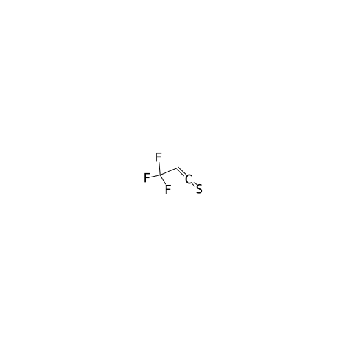 FC(F)(F)C=C=S